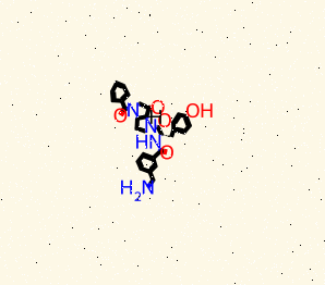 NCc1cccc(C(=O)N[C@@H](Cc2ccc(O)cc2)C(=O)N2CCC3[C@H]2C(=O)CN3C(=O)c2ccccc2)c1